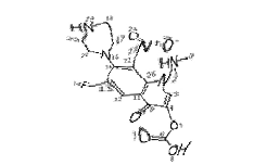 CNn1cc(OC(=O)O)c(=O)c2cc(F)c(N3CCNCC3)c([N+](=O)[O-])c21